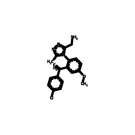 C=C(c1ccc(Cl)cc1)c1cc(OC)ccc1-n1c(C)nnc1CN